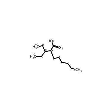 CCCCCCC(C(=O)O)C(CC)CC